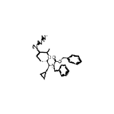 CC1O[C@H]([C@@H](C2CC2)N(Cc2ccccc2)C(=O)OCc2ccccc2)CCC1N=[N+]=[N-]